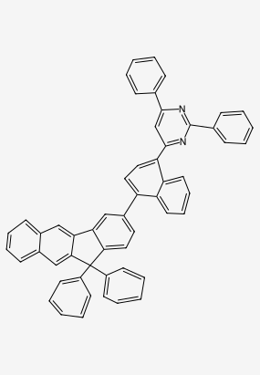 c1ccc(-c2cc(-c3ccc(-c4ccc5c(c4)-c4cc6ccccc6cc4C5(c4ccccc4)c4ccccc4)c4ccccc34)nc(-c3ccccc3)n2)cc1